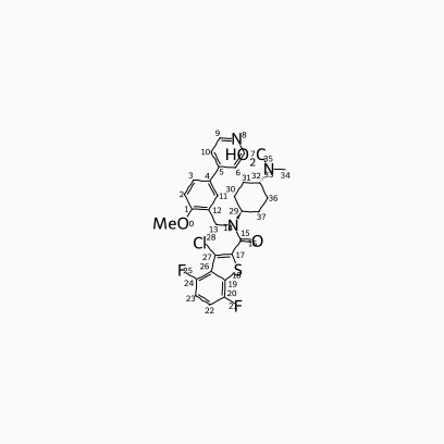 COc1ccc(-c2ccncc2)cc1CN(C(=O)c1sc2c(F)ccc(F)c2c1Cl)[C@H]1CC[C@H](N(C)C(=O)O)CC1